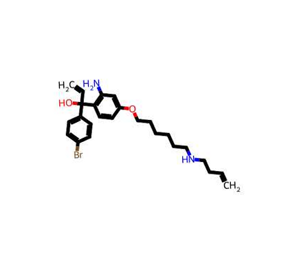 C=CCCNCCCCCCOc1ccc(C(O)(C=C)c2ccc(Br)cc2)c(N)c1